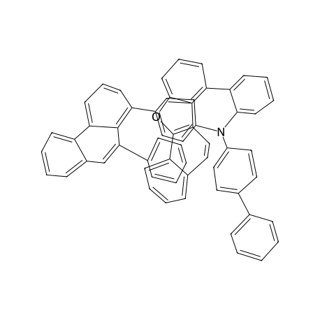 c1ccc(-c2ccc(N(c3ccc(-c4cccc5c4c(-c4ccccc4)cc4ccccc45)cc3)c3ccccc3-c3cccc4oc5c6ccccc6ccc5c34)cc2)cc1